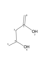 C=C(O)CC(C)O